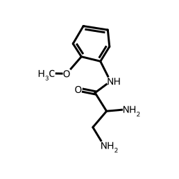 COc1ccccc1NC(=O)C(N)CN